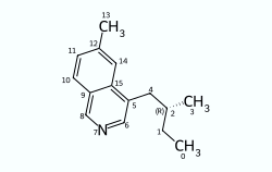 CC[C@@H](C)Cc1cncc2ccc(C)cc12